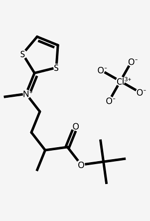 CC(CC[N+](C)=c1sccs1)C(=O)OC(C)(C)C.[O-][Cl+3]([O-])([O-])[O-]